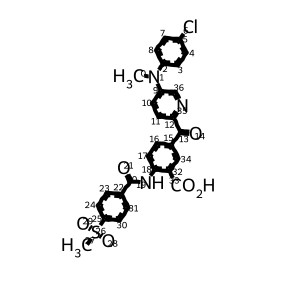 CN(c1ccc(Cl)cc1)c1ccc(C(=O)c2ccc(NC(=O)c3ccc(S(C)(=O)=O)cc3)c(C(=O)O)c2)nc1